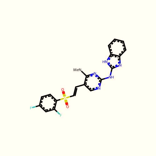 CNc1nc(Nc2nc3ccccc3[nH]2)ncc1C=CS(=O)(=O)c1ccc(F)cc1F